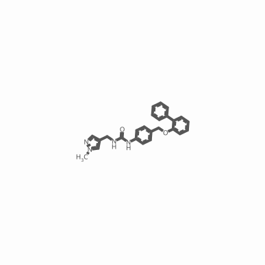 Cn1cc(CNC(=O)Nc2ccc(COc3ccccc3-c3ccccc3)cc2)cn1